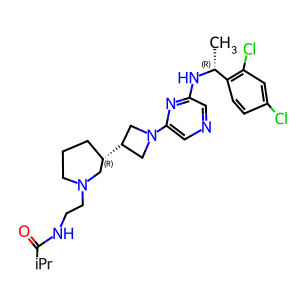 CC(C)C(=O)NCCN1CCC[C@H](C2CN(c3cncc(N[C@H](C)c4ccc(Cl)cc4Cl)n3)C2)C1